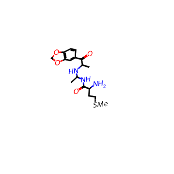 CSCCC(N)C(=O)NC(C)NC(C)C(=O)c1ccc2c(c1)OCO2